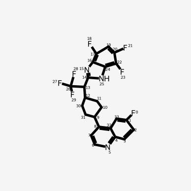 Fc1ccc2nccc(C3CCC(C(c4nc5c(F)cc(F)c(F)c5[nH]4)C(F)(F)F)CC3)c2c1